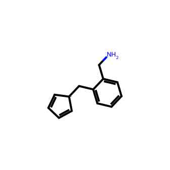 NCc1ccccc1C[C]1C=CC=C1